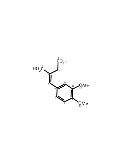 COc1ccc(C=C(CC(=O)O)C(=O)O)cc1OC